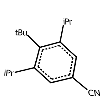 CC(C)c1cc(C#N)cc(C(C)C)c1C(C)(C)C